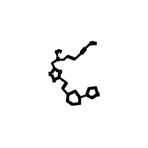 CCCN(CC=CC#CC(C)(C)C)Cc1nnc(C=Cc2cccc(-c3ccsc3)c2)o1